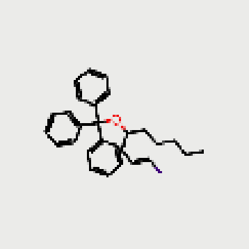 CCCCCC(C/C=C/I)OC(c1ccccc1)(c1ccccc1)c1ccccc1